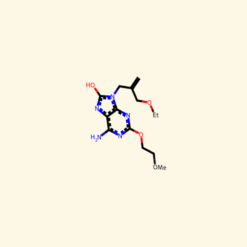 C=C(COCC)Cn1c(O)nc2c(N)nc(OCCOC)nc21